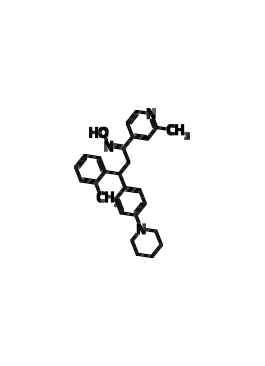 Cc1cc(/C(CC(c2ccc(N3CCCCC3)cc2)c2ccccc2C)=N\O)ccn1